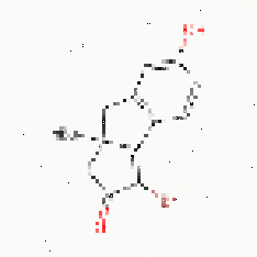 CCCCC12CC(=O)C(Br)=C1c1ccc(O)cc1C2